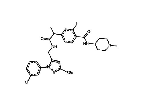 CC(C(=O)NCc1cc(C(C)(C)C)nn1-c1cccc(Cl)c1)c1ccc(C(=O)NC2CCN(C)CC2)c(F)c1